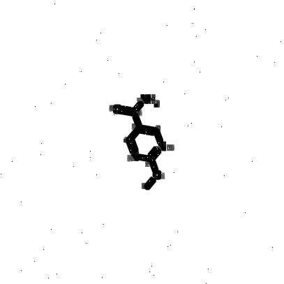 COc1ncc(C(N)=O)cn1